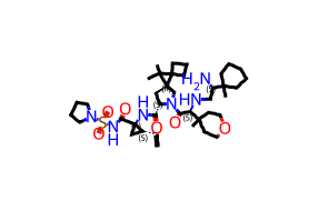 C=C[C@@H]1C[C@]1(NC(=O)[C@@H]1C[C@@]2(CN1C(=O)[C@@H](NC[C@@H](N)C1(C)CCCCC1)C1(C)CCOCC1)C(C)(C)C21CCC1)C(=O)NS(=O)(=O)N1CCCC1